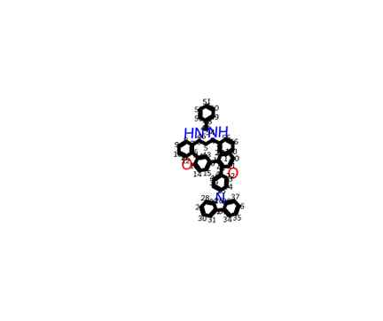 c1ccc(C2CC(c3cccc4oc5ccc(-c6cccc7oc8cc(-n9c%10ccccc%10c%10ccccc%109)ccc8c67)cc5c34)NC(c3ccccc3)N2)cc1